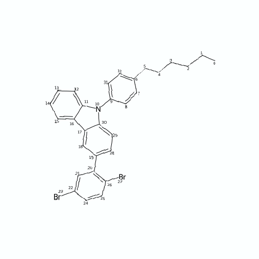 CCCCCCc1ccc(-n2c3ccccc3c3cc(-c4cc(Br)ccc4Br)ccc32)cc1